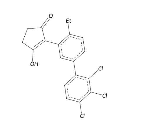 CCc1ccc(-c2ccc(Cl)c(Cl)c2Cl)cc1C1=C(O)CCC1=O